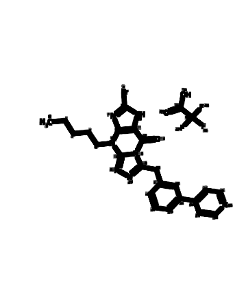 CCCCCn1c2nc(Br)[nH]c2c(=O)n2c(Cc3cccc(-c4ccncc4)c3)nnc12.O=C(O)C(F)(F)F